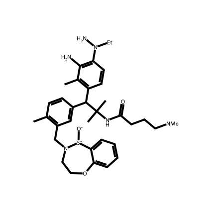 CCN(N)c1ccc(C(c2ccc(C)c(CN3CCOc4ccccc4[S+]3[O-])c2)C(C)(C)NC(=O)CCCNC)c(C)c1N